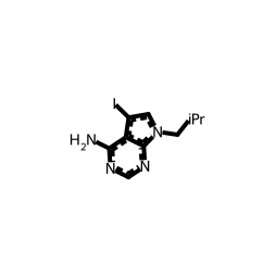 CC(C)Cn1cc(I)c2c(N)ncnc21